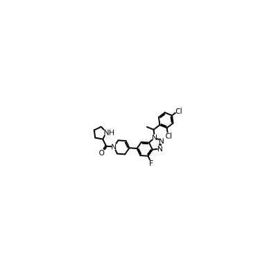 CC(c1ccc(Cl)cc1Cl)n1nnc2c(F)cc(C3=CCN(C(=O)C4CCCN4)CC3)cc21